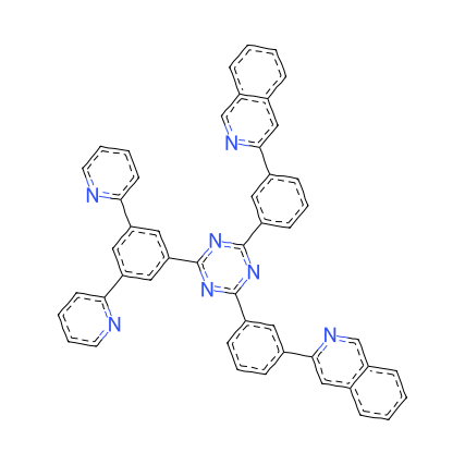 c1ccc(-c2cc(-c3ccccn3)cc(-c3nc(-c4cccc(-c5cc6ccccc6cn5)c4)nc(-c4cccc(-c5cc6ccccc6cn5)c4)n3)c2)nc1